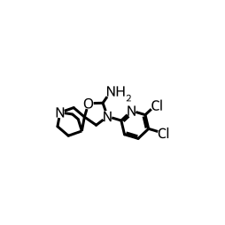 NC1OC2(CN3CCC2CC3)CN1c1ccc(Cl)c(Cl)n1